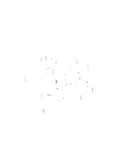 CCCCCCCCCCCCCC(=O)O.OC[C@H]1O[C@](CO)([C@]2(O)O[C@H](CO)[C@@H](O)[C@H](O)[C@H]2O)[C@@H](O)[C@@H]1O